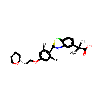 Cc1cc(OCC[C@H]2CCCCO2)cc(C)c1C(=S)Nc1cc(C(C)(C)C(=O)O)ccc1Cl